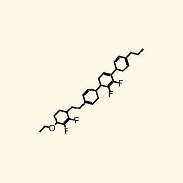 CCCC1=CCC(C2=CCC(C3C=CC(CCC4CCC(OCC)C(F)=C4F)=CC3)C(F)=C2F)C=C1